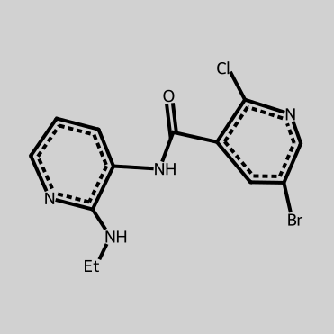 CCNc1ncccc1NC(=O)c1cc(Br)cnc1Cl